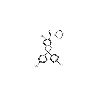 Cc1ccc(C2(c3ccc(C)cc3)Oc3cc(Cl)c(C(=O)N4CCOCC4)cc3O2)cc1